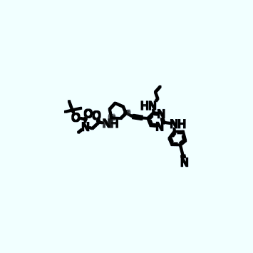 CCCNc1nc(Nc2ccc(C#N)cc2)ncc1C#C[C@@H]1CCC[C@H](NC(=O)CN(C)C(=O)OC(C)(C)C)C1